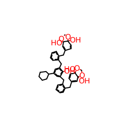 Oc1c(Cc2ccccc2CC2=CC3(O)OCOC3(O)C=C2)cc(C2CCCCC2)cc1Cc1ccccc1CC1=CC2(O)OCOC2(O)C=C1